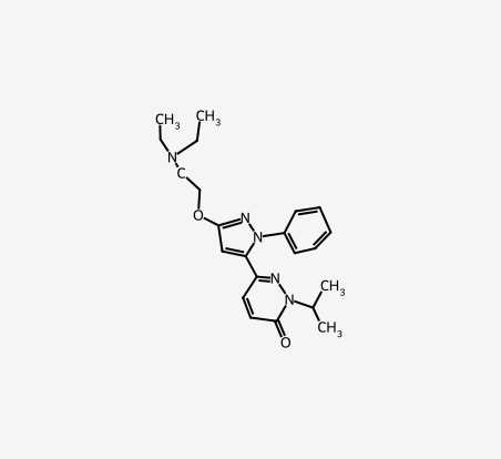 CCN(CC)CCOc1cc(-c2ccc(=O)n(C(C)C)n2)n(-c2ccccc2)n1